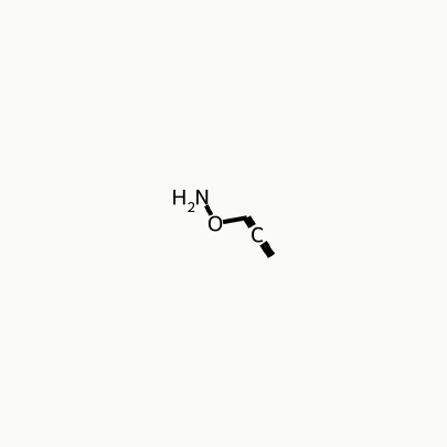 C=C=CON